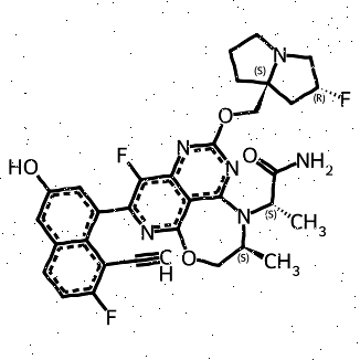 C#Cc1c(F)ccc2cc(O)cc(-c3nc4c5c(nc(OC[C@@]67CCCN6C[C@H](F)C7)nc5c3F)N([C@@H](C)C(N)=O)[C@@H](C)CO4)c12